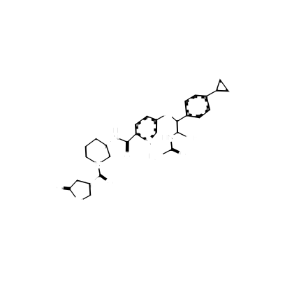 CC(NC(=O)C(F)(F)F)C(Oc1ccc(C(=O)N[C@H]2CCCN(C(=O)[C@H]3COC(=O)C3)C2)nc1)c1ccc(C2CC2)cc1